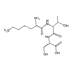 CC(O)C(NC(=O)C(N)CCCCN)C(=O)NC(CO)C(=O)O